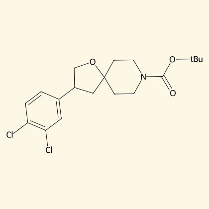 CC(C)(C)OC(=O)N1CCC2(CC1)CC(c1ccc(Cl)c(Cl)c1)CO2